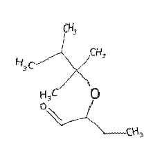 CCC(C=O)OC(C)(C)C(C)C